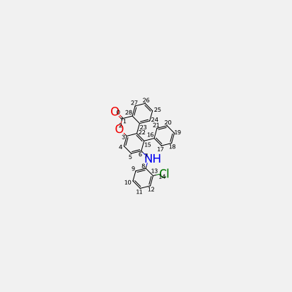 O=c1oc2ccc(Nc3ccccc3Cl)c(-c3ccccc3)c2c2ccccc12